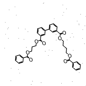 O=C(OCCCCOC(=O)c1cccc(-c2cccc(C(=O)OCCCOC(=O)c3ccccc3)c2)c1)c1ccccc1